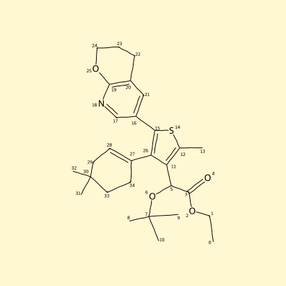 CCOC(=O)C(OC(C)(C)C)c1c(C)sc(-c2cnc3c(c2)CCCO3)c1C1=CCC(C)(C)CC1